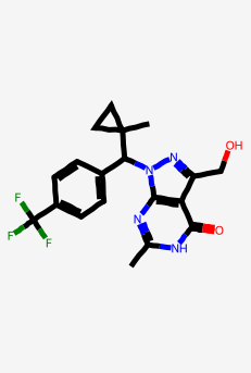 Cc1nc2c(c(CO)nn2C(c2ccc(C(F)(F)F)cc2)C2(C)CC2)c(=O)[nH]1